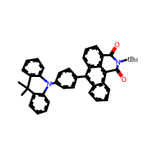 CC1(C)c2ccccc2N(c2ccc(-c3c4ccccc4c4c5c(cccc35)C(=O)N(C(C)(C)C)C4=O)cc2)c2ccccc21